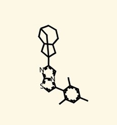 Cc1cc(C)c(-c2csc3nc(C45CC6CCCC(C4)C(C6)C5)cn23)c(C)c1